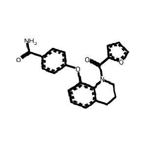 NC(=O)c1ccc(Oc2cccc3c2N(C(=O)c2ccco2)CCC3)cc1